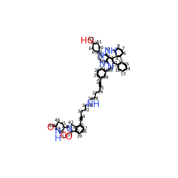 N=c1c2c(-c3ccccc3)c(-c3ccccc3)n(Cc3cccc(C#CCCCCNCCCC#Cc4cccc5c4CN(C4CCC(=O)NC4=O)C5=O)c3)c2ncn1C1CCC(O)CC1